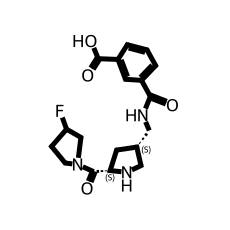 O=C(O)c1cccc(C(=O)NC[C@@H]2CN[C@H](C(=O)N3CCC(F)C3)C2)c1